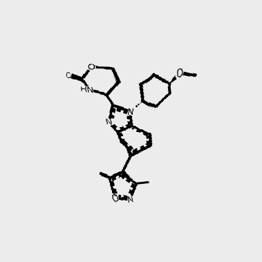 CO[C@H]1CC[C@H](n2c(C3CCOC(=O)N3)nc3cc(-c4c(C)noc4C)ccc32)CC1